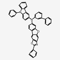 c1ccc(-c2cccc(N(c3ccc4c(c3)oc3cc5nc(-c6ccccc6)oc5cc34)c3ccc4c(c3)c3ccccc3n4-c3ccccc3)c2)cc1